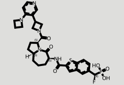 O=C(N[C@H]1CCC[C@H]2CC[C@@H](C(=O)N3CC(c4cnccc4N4CCC4)C3)N2C1=O)c1cc2cc([C@H](F)P(=O)(O)O)ccc2s1